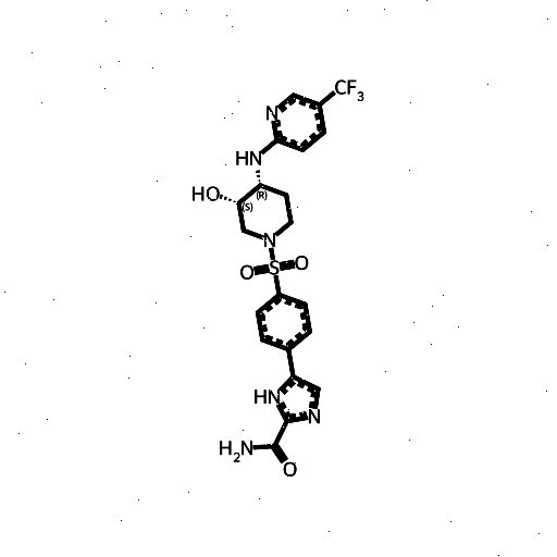 NC(=O)c1ncc(-c2ccc(S(=O)(=O)N3CC[C@@H](Nc4ccc(C(F)(F)F)cn4)[C@@H](O)C3)cc2)[nH]1